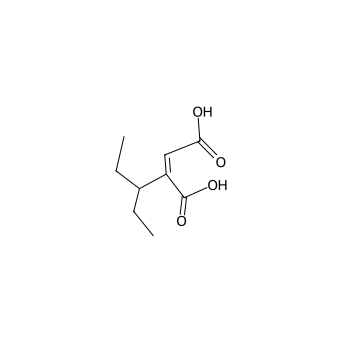 CCC(CC)C(=CC(=O)O)C(=O)O